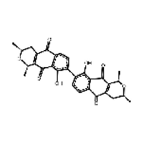 C[C@H]1CC2=C(C(=O)c3c(ccc(-c4ccc5c(c4O)C(=O)C4=C(C[C@H](C)O[C@@H]4C)C5=O)c3O)C2=O)[C@@H](C)O1